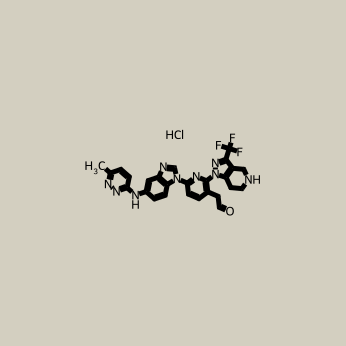 Cc1ccc(Nc2ccc3c(c2)ncn3-c2ccc(CC=O)c(-n3nc(C(F)(F)F)c4c3CCNC4)n2)nn1.Cl